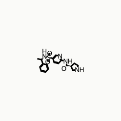 CC(NS(=O)(=O)c1ccc(NC(=O)[C@H]2CCNC2)nc1)c1ccccc1